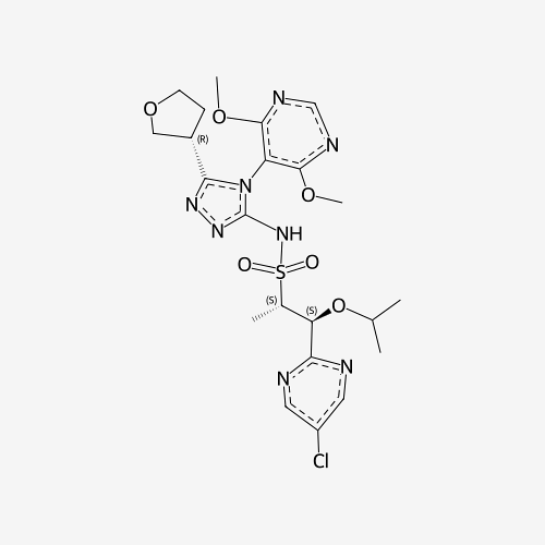 COc1ncnc(OC)c1-n1c(NS(=O)(=O)[C@@H](C)[C@@H](OC(C)C)c2ncc(Cl)cn2)nnc1[C@H]1CCOC1